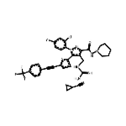 N#CC1CC1.N=C(N)NCc1c(C(=O)NN2CCCCC2)nn(-c2ccc(Cl)cc2Cl)c1-c1ccc(C#Cc2ccc(C(F)(F)F)cc2)s1